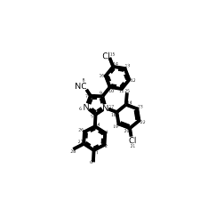 Cc1ccc(-c2nc(C#N)c(-c3cccc(Cl)c3)n2C2C=C(Cl)C=CC2C)cc1C